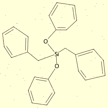 c1ccc(C[Si](Cc2ccccc2)(Oc2ccccc2)Oc2ccccc2)cc1